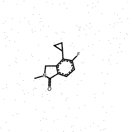 CN1Cc2c(ccc(F)c2C2CC2)C1=O